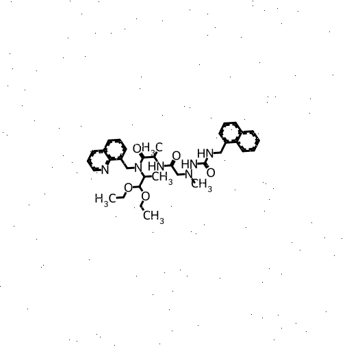 CCOC(OCC)C(C)N(Cc1cccc2cccnc12)C(=O)C(C)NC(=O)CN(C)NC(=O)NCc1cccc2ccccc12